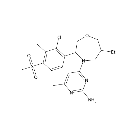 CCC1COCC(c2ccc(S(C)(=O)=O)c(C)c2Cl)N(c2cc(C)nc(N)n2)C1